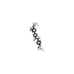 CCCC1CCC(C2CCC(/C(F)=C(\F)c3ccc(OCC)cc3)CC2)CC1(F)F